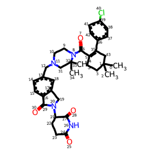 CC1(C)CCC(C(=O)N2CCN(Cc3ccc4c(c3)CN(C3CCC(=O)NC3=O)C4=O)CC2(C)C)=C(c2ccc(Cl)cc2)C1